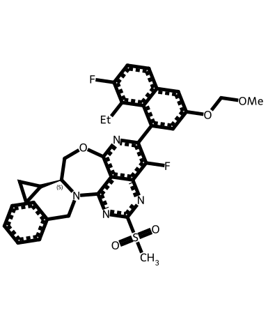 CCc1c(F)ccc2cc(OCOC)cc(-c3nc4c5c(nc(S(C)(=O)=O)nc5c3F)N(Cc3ccccc3)[C@@H](C3CC3)CO4)c12